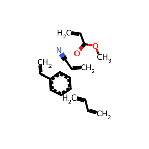 C=CC#N.C=CC(=O)OC.C=CC=C.C=Cc1ccccc1